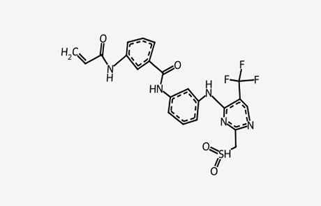 C=CC(=O)Nc1cccc(C(=O)Nc2cccc(Nc3nc(C[SH](=O)=O)ncc3C(F)(F)F)c2)c1